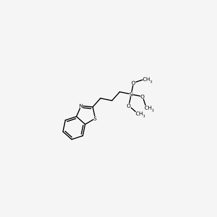 CO[Si](CCCc1nc2ccccc2s1)(OC)OC